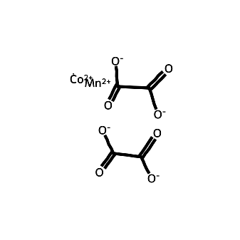 O=C([O-])C(=O)[O-].O=C([O-])C(=O)[O-].[Co+2].[Mn+2]